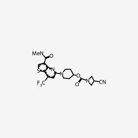 CNC(=O)c1csc2c(C(F)(F)F)cc(N3CCC(OC(=O)N4CC(C#N)C4)CC3)nc12